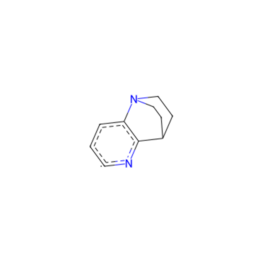 [c]1ccc2c(n1)C1CCN2CC1